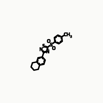 Cc1ccc(S(=O)(=O)c2nc(-c3ccc4c(c3)CCCC4)ns2)cc1